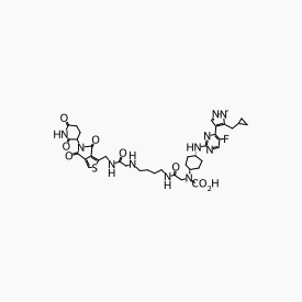 Cn1ncc(-c2nc(N[C@H]3CC[C@H](N(CC(=O)NCCCCNCC(=O)NCc4scc5c4C(=O)N(C4CCC(=O)NC4=O)C5=O)C(=O)O)CC3)ncc2F)c1CC1CC1